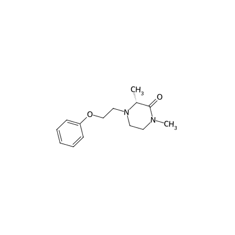 C[C@@H]1C(=O)N(C)CCN1CCOc1ccccc1